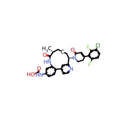 C[C@@H]1CCC[C@@H](N2CCC(c3c(F)ccc(Cl)c3F)=CC2=O)c2cc(ccn2)-c2ccc(NC(=O)O)cc2NC1=O